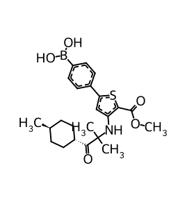 COC(=O)c1sc(-c2ccc(B(O)O)cc2)cc1NC(C)(C)C(=O)[C@H]1CC[C@H](C)CC1